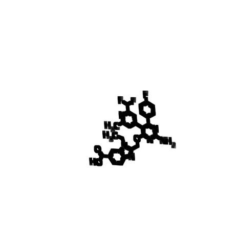 CCn1c(COc2nc(N)nc(-c3ccc(F)cc3)c2-c2cc(C)nc(C(F)F)c2)nc2ccc(C(=O)O)cc21